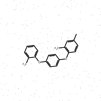 Cc1ccc(Oc2ccc(Oc3ccccc3C(F)(F)F)cc2)c(C(F)(F)F)c1